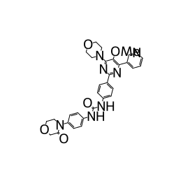 COc1c(-c2cccnc2)nc(-c2ccc(NC(=O)Nc3ccc(N4CCOCC4=O)cc3)cc2)nc1N1CCOCC1